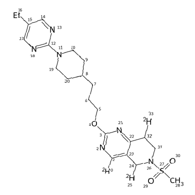 [2H]c1nc(OCCCC2CCN(c3ncc(CC)cn3)CC2)nc2c1C([2H])N(S(C)(=O)=O)CC2[2H]